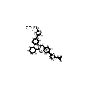 CCOC(=O)c1nc(-c2cccc(N(CC34CCC(c5nc(C6CC6)no5)(CC3)CC4)C(=O)C3CCCCC3)c2)cs1